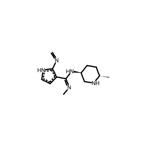 C=Nc1[nH]ccc1/C(=N\C)N[C@H]1CC[C@H](C)NC1